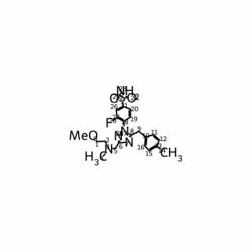 COCCN(C)Cc1nc(Cc2ccc(C)cc2)n(-c2ccc(S(N)(=O)=O)cc2F)n1